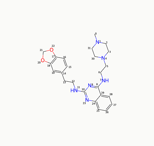 CN1CCN(CCNc2nc(NCCc3ccc4c(c3)OCO4)nc3ccccc23)CC1